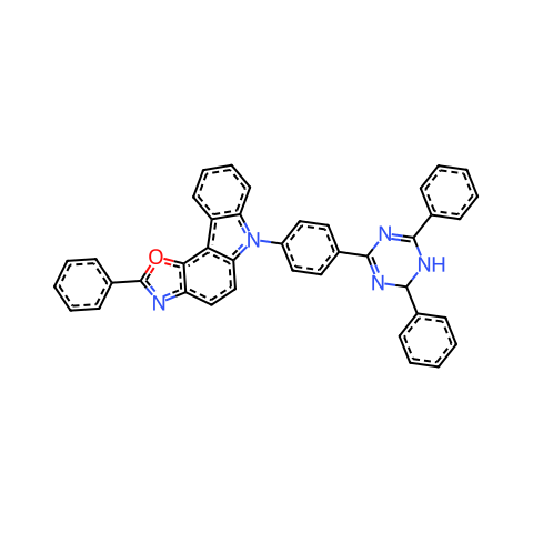 c1ccc(C2=NC(c3ccc(-n4c5ccccc5c5c6oc(-c7ccccc7)nc6ccc54)cc3)=NC(c3ccccc3)N2)cc1